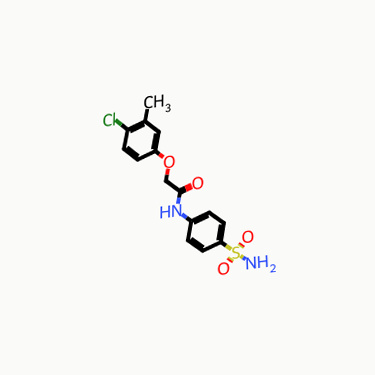 Cc1cc(OCC(=O)Nc2ccc(S(N)(=O)=O)cc2)ccc1Cl